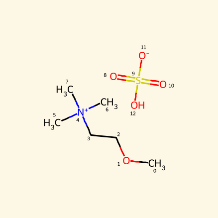 COCC[N+](C)(C)C.O=S(=O)([O-])O